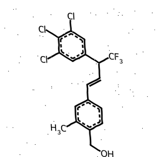 Cc1cc(/C=C/C(c2cc(Cl)c(Cl)c(Cl)c2)C(F)(F)F)ccc1CO